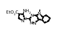 CCOC(=O)c1cnn(-c2nnc3c4ccccc4n(C)c3n2)c1N